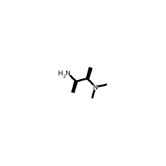 C=C(N)C(=C)N(C)C